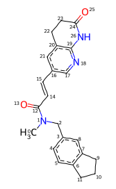 CN(Cc1ccc2c(c1)CCC2)C(=O)/C=C/c1cnc2c(c1)CCC(=O)N2